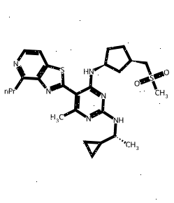 CCCc1nccc2sc(-c3c(C)nc(N[C@H](C)C4CC4)nc3N[C@H]3CC[C@@H](CS(C)(=O)=O)C3)nc12